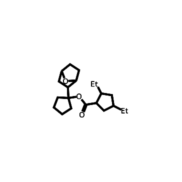 CCC1CC(CC)C(C(=O)OC2(C3CC4CCC3O4)CCCC2)C1